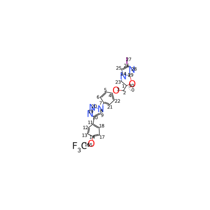 C[C@]1(COc2ccc(-n3cc(-c4ccc(OC(F)(F)F)cc4)nn3)cc2)Cn2cc(I)nc2O1